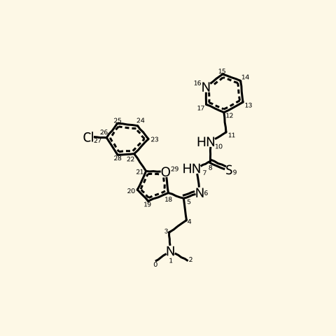 CN(C)CCC(=NNC(=S)NCc1cccnc1)c1ccc(-c2cccc(Cl)c2)o1